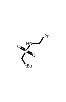 CC(C)CNS(=O)(=O)CC(C)(C)C